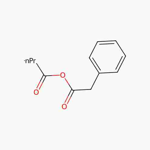 CC[CH]C(=O)OC(=O)Cc1ccccc1